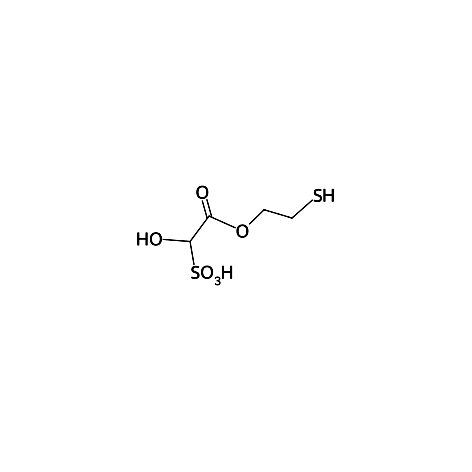 O=C(OCCS)C(O)S(=O)(=O)O